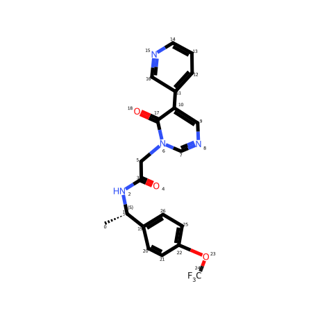 C[C@H](NC(=O)Cn1cncc(-c2cccnc2)c1=O)c1ccc(OC(F)(F)F)cc1